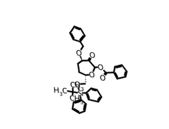 CC(C)(C)[Si](OC[C@@H]1CC[C@@H](OCc2ccccc2)C(=O)C(OC(=O)c2ccccc2)O1)(c1ccccc1)c1ccccc1